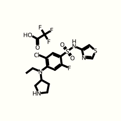 CCN(c1cc(F)c(S(=O)(=O)Nc2cscn2)cc1Cl)C1CCNC1.O=C(O)C(F)(F)F